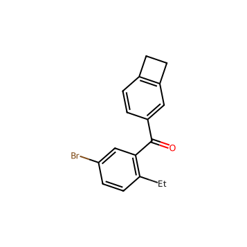 CCc1ccc(Br)cc1C(=O)c1ccc2c(c1)CC2